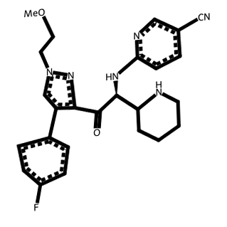 COCCn1cc(-c2ccc(F)cc2)c(C(=O)[C@@H](Nc2ccc(C#N)cn2)C2CCCCN2)n1